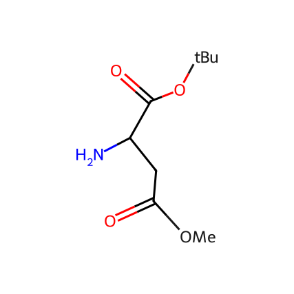 COC(=O)CC(N)C(=O)OC(C)(C)C